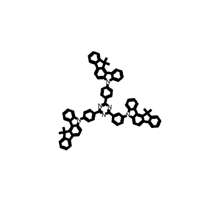 CC1(C)c2ccccc2-c2ccc3c(c21)c1ccccc1n3-c1ccc(-c2nc(-c3ccc(-n4c5ccccc5c5c6c(ccc54)-c4ccccc4C6(C)C)cc3)nc(-c3cccc(-n4c5ccccc5c5c6c(ccc54)-c4ccccc4C6(C)C)c3)n2)cc1